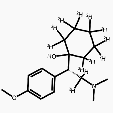 [2H]C([2H])([C@H](c1ccc(OC)cc1)C1(O)C([2H])([2H])C([2H])([2H])C([2H])([2H])C([2H])([2H])C1([2H])[2H])N(C)C